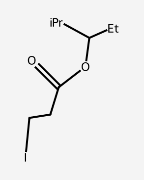 CCC(OC(=O)CCI)C(C)C